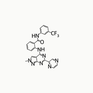 Cn1cc2c(Nc3ccccc3C(=O)Nc3cccc(C(F)(F)F)c3)nc(-c3cnccn3)nc2n1